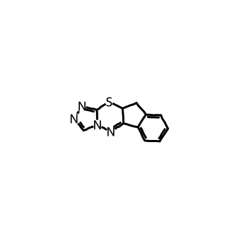 c1ccc2c(c1)CC1Sc3nncn3N=C21